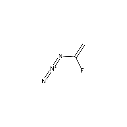 C=C(F)N=[N+]=[N-]